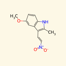 COc1ccc2[nH]c(C)c(/C=C/[N+](=O)[O-])c2c1